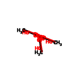 CCCCCCC(O)CCCCCCCCCCOC(=O)OCCOCC(COCCOC(=O)OCCCCCCCCCCC(O)CCCCCC)OCCOC(=O)OCCCCCCCCCCC(O)CCCCCC